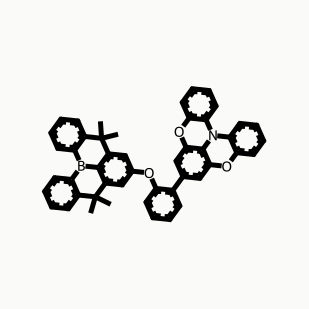 CC1(C)c2ccccc2B2c3ccccc3C(C)(C)c3cc(Oc4ccccc4-c4cc5c6c(c4)Oc4ccccc4N6c4ccccc4O5)cc1c32